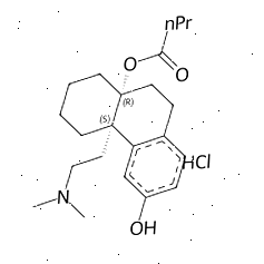 CCCC(=O)O[C@@]12CCCC[C@]1(CCN(C)C)c1cc(O)ccc1CC2.Cl